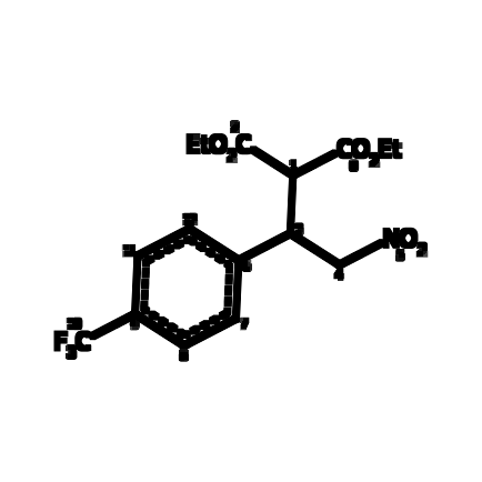 CCOC(=O)C(C(=O)OCC)C(C[N+](=O)[O-])c1ccc(C(F)(F)F)cc1